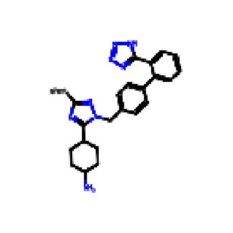 CCCCCc1nc(C2CCC(N)CC2)n(Cc2ccc(-c3ccccc3-c3nnn[nH]3)cc2)n1